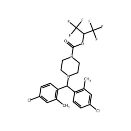 Cc1cc(Cl)ccc1C(c1ccc(Cl)cc1C)N1CCN(C(=O)OC(C(F)(F)F)C(F)(F)F)CC1